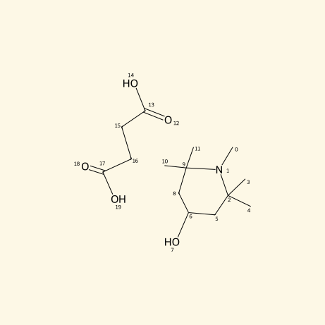 CN1C(C)(C)CC(O)CC1(C)C.O=C(O)CCC(=O)O